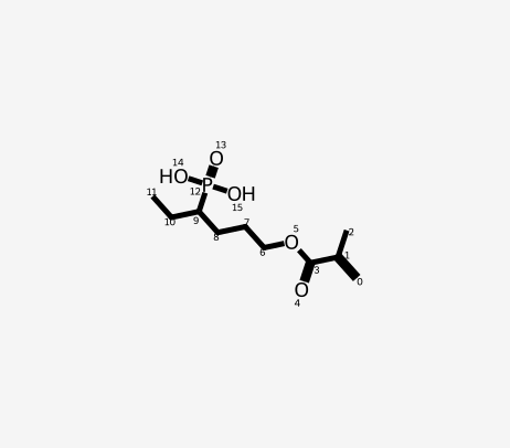 C=C(C)C(=O)OCCCC(CC)P(=O)(O)O